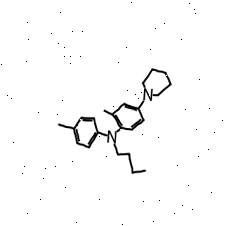 CCCCN(c1ccc(C)cc1)c1ccc(N2CCCCC2)cc1C